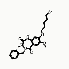 COc1cc2c(cc1OCCCCCBr)NC(=O)[C@H](C)N(Cc1ccccc1)C2=O